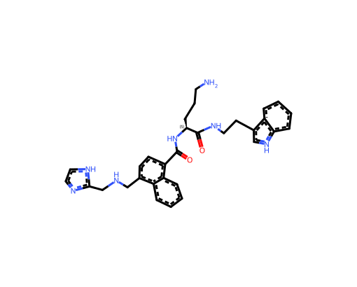 NCCC[C@H](NC(=O)c1ccc(CNCc2ncc[nH]2)c2ccccc12)C(=O)NCCc1c[nH]c2ccccc12